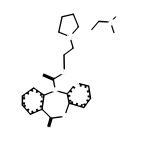 CCN(CC)CC[C@H]1CCCN1CCNC(=O)N1c2ccccc2C(=O)Nc2cccnc21